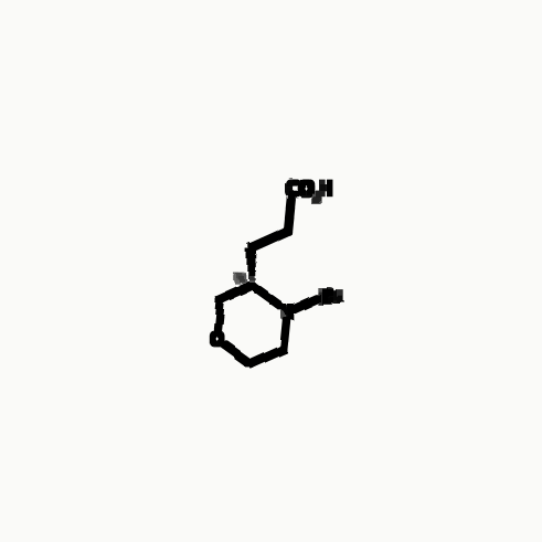 CCC(C)N1CCOC[C@@H]1CCC(=O)O